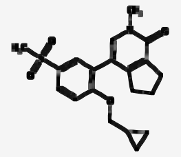 Cn1cc(-c2cc(S(C)(=O)=O)ccc2OCC2CC2)c2c(c1=O)CCC2